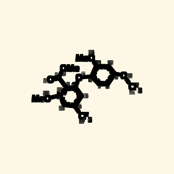 COC(=O)c1c(Oc2ccc(OC(F)(F)F)cc2OC)cc(C(F)(F)F)c[n+]1OC